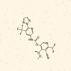 CO[C@@H](C)c1c(OC(=O)Nc2cnc(-n3nccn3)c(C(F)(F)F)c2)cnc(C(F)F)c1C#N